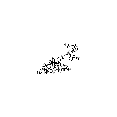 Cc1cc(Cl)c2c(c1)[C@@H](N1CCN(C3CC4(CCN(c5ccc(C(=O)NS(=O)(=O)c6cc7c(c([N+](=O)[O-])c6)N[C@H](C6CCOCC6)CO7)c(N6c7cc8cc[nH]c8nc7O[C@H]7COCC[C@@H]76)c5)CC4)C3)[C@H](c3ccccc3OC(C)C)C1)CCO2